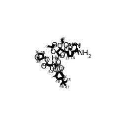 CC(=O)O[C@H]1[C@@H](OC(C)=O)[C@](C)(c2ccc3c(N)ncnn23)O[C@@H]1COP(=O)(N[C@@H](C)C(=O)O[C@H]1CCOC1)Oc1ccc(C(C)(C)C)cc1